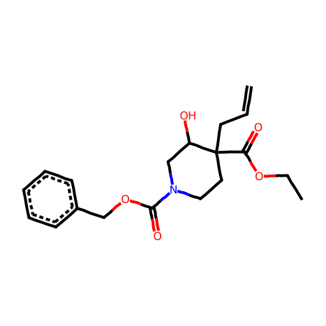 C=CCC1(C(=O)OCC)CCN(C(=O)OCc2ccccc2)CC1O